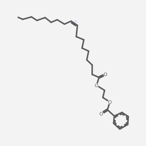 CCCCCCCC/C=C\CCCCCCCC(=O)OCCOC(=O)c1ccccc1